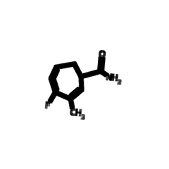 CC1=CC(C(N)=O)CC=C=C1F